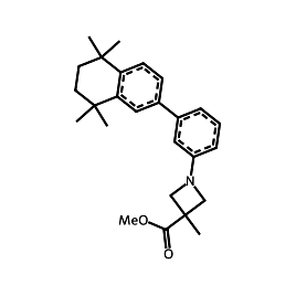 COC(=O)C1(C)CN(c2cccc(-c3ccc4c(c3)C(C)(C)CCC4(C)C)c2)C1